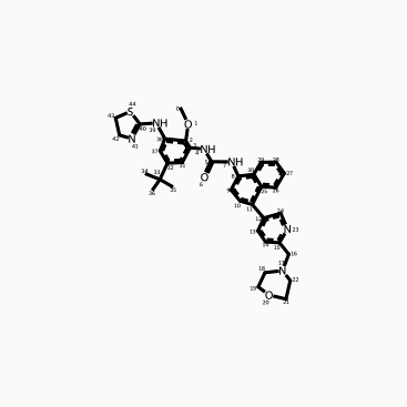 COc1c(NC(=O)Nc2ccc(-c3ccc(CN4CCOCC4)nc3)c3ccccc23)cc(C(C)(C)C)cc1NC1=NCCS1